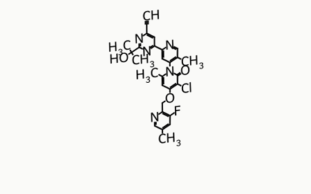 C#Cc1cc(-c2cc(-n3c(C)cc(OCc4ncc(C)cc4F)c(Cl)c3=O)c(C)cn2)nc(C(C)(C)O)n1